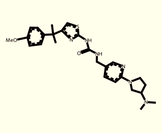 COc1ccc(C(C)(C)c2csc(NC(=O)NCc3ccc(N4CCC(N(C)C)C4)nc3)n2)cc1